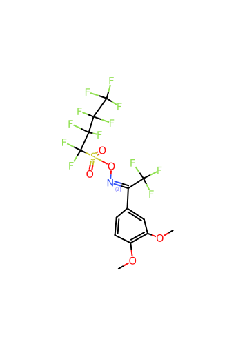 COc1ccc(/C(=N/OS(=O)(=O)C(F)(F)C(F)(F)C(F)(F)C(F)(F)F)C(F)(F)F)cc1OC